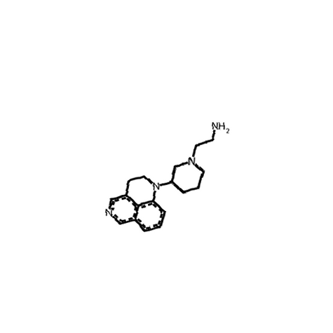 NCCN1CCCC(N2CCc3cncc4cccc2c34)C1